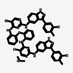 CPC.Cc1ccc(-c2n[nH]c3ccc(Nc4ncc(Cl)c(Nc5ccccc5Oc5ccccc5Nc5nc(Nc6ccc7[nH]nc(-c8ccc(C)c(Cl)c8)c7c6)ncc5Cl)n4)cc23)cc1Cl